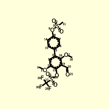 COc1cc(-c2ccc(OS(C)(=O)=O)cc2)c(OC)c(C=O)c1OS(=O)(=O)C(F)(F)F